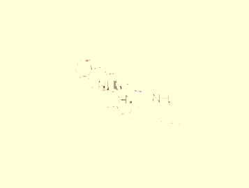 CC1(C)CCC(NC/C=C/CN(CC2Cc3ccccc3CN2)C2CCCc3cccnc32)CC1